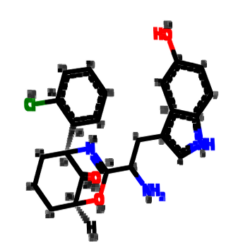 NC(Cc1c[nH]c2ccc(O)cc12)C1=N[C@]2(c3ccccc3Cl)CCC[C@H](O1)C2=O